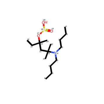 CCCCN(CCCC)C(C)(C)CC(C)(CC)OS(=O)O